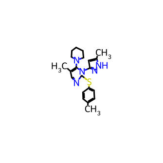 CC1=C(N2CCCCC2)N(c2cc(C)[nH]n2)C(Sc2ccc(C)cc2)N=C1